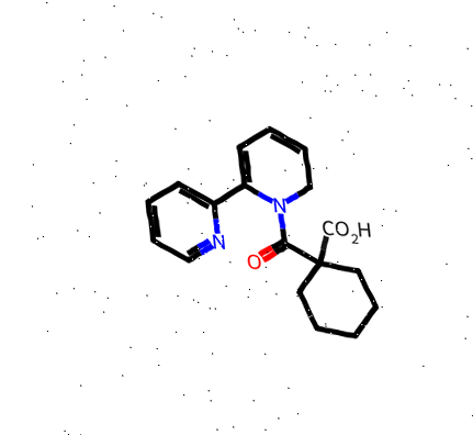 O=C(O)C1(C(=O)N2CC=CC=C2c2ccccn2)CCCCC1